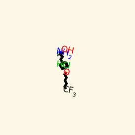 C[C@](N)(CO)CCc1ccc(OCCCCCC(F)(F)F)cc1.Cl